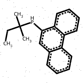 CCC(C)(C)Pc1cc2ccccc2c2ccccc12